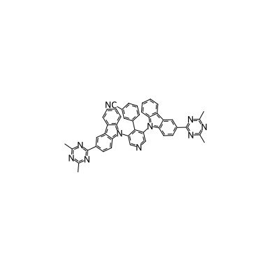 Cc1nc(C)nc(-c2ccc3c(c2)c2ccccc2n3-c2cncc(-n3c4ccccc4c4cc(-c5nc(C)nc(C)n5)ccc43)c2-c2cccc(C#N)c2)n1